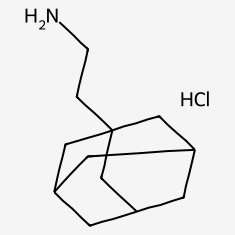 Cl.NCCC12CC3CC(CC(C3)C1)C2